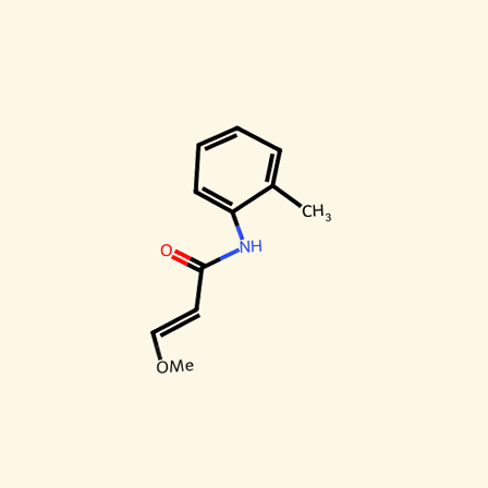 COC=CC(=O)Nc1ccccc1C